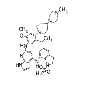 CCc1cc(Nc2nc(Nc3cccc4c3N(S(C)(=O)=O)CC4)c3cc[nH]c3n2)c(OC)cc1N1CCC(N2CCN(C)CC2)CC1